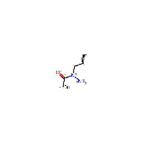 C=CCN(N)C(=O)CCCC